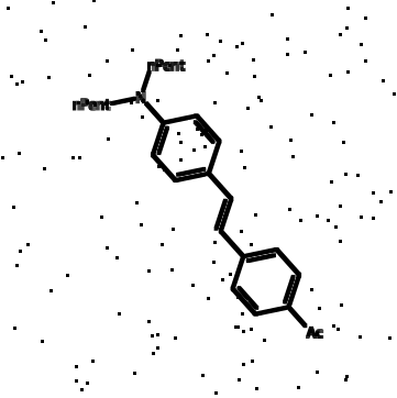 CCCCCN(CCCCC)c1ccc(/C=C/c2ccc(C(C)=O)cc2)cc1